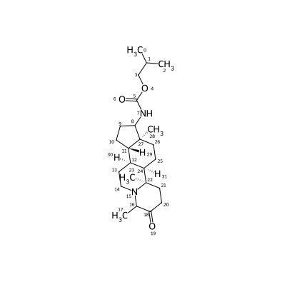 CC(C)COC(=O)NC1CC[C@H]2[C@@H]3CCN4C(C)C(=O)CC[C@]4(C)[C@@H]3CC[C@]12C